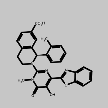 Cc1ccccc1[C@@H]1c2cc(C(=O)O)ccc2CCN1c1nc(-c2nc3ccccc3o2)c(O)c(=O)n1C